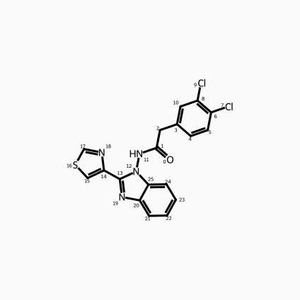 O=C(Cc1ccc(Cl)c(Cl)c1)Nn1c(-c2cscn2)nc2ccccc21